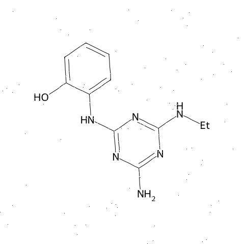 CCNc1nc(N)nc(Nc2ccccc2O)n1